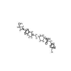 COC1(C)CN(c2nc3c(s2)CCN(CC[C@H]2CC[C@H](NC(=O)Cc4cnc(C)s4)CC2)C3)C1